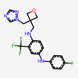 Fc1ccc(Nc2ccc(NCC3(Cn4cncn4)COC3)c(C(F)(F)F)c2)cc1